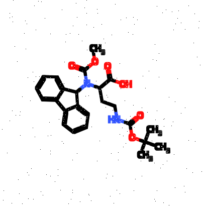 COC(=O)N(C(CCNC(=O)OC(C)(C)C)C(=O)O)C1c2ccccc2-c2ccccc21